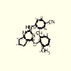 Cc1cccc(C)c1Oc1nc(Nc2ccc(C#N)cc2)nc2c1CCC2